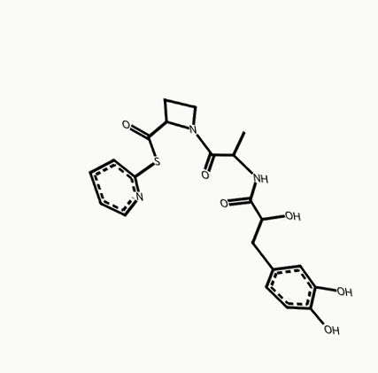 CC(NC(=O)C(O)Cc1ccc(O)c(O)c1)C(=O)N1CCC1C(=O)Sc1ccccn1